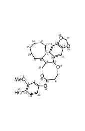 COc1cc(OC2CCOC(c3ccc4c(c3)OCO4)C(C3CCCCCCC3)CO2)ccc1O